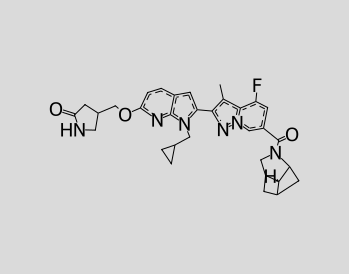 Cc1c(-c2cc3ccc(OCC4CNC(=O)C4)nc3n2CC2CC2)nn2cc(C(=O)N3CC4CC5CC3[C@H]54)cc(F)c12